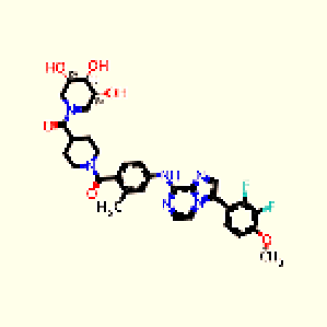 COc1ccc(-c2cnc3c(Nc4ccc(C(=O)N5CCC(C(=O)N6C[C@@H](O)[C@@H](O)[C@@H](O)C6)CC5)c(C)c4)nccn23)c(F)c1F